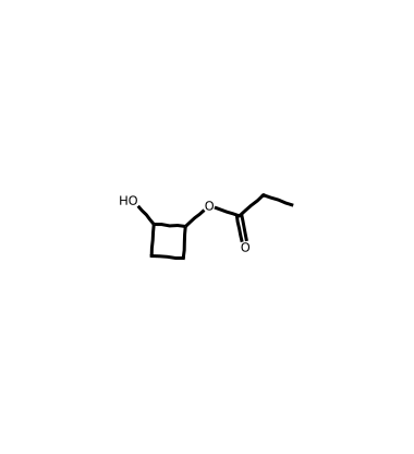 CCC(=O)OC1CCC1O